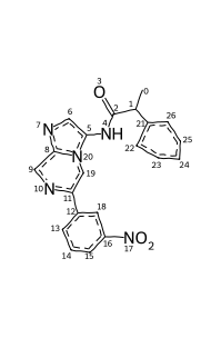 CC(C(=O)Nc1cnc2cnc(-c3cccc([N+](=O)[O-])c3)cn12)c1ccccc1